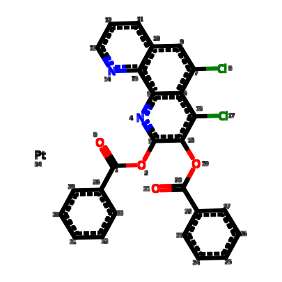 O=C(Oc1nc2c(c(Cl)cc3cccnc32)c(Cl)c1OC(=O)c1ccccc1)c1ccccc1.[Pt]